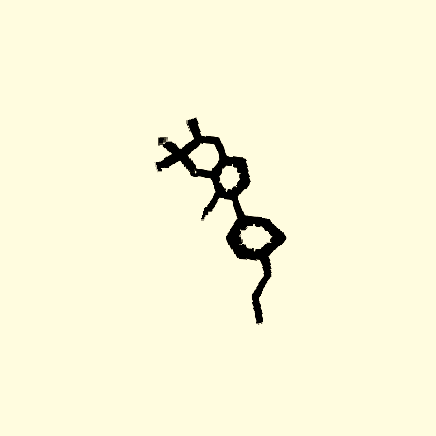 CCCc1ccc(-c2ccc3c(c2F)OC(F)(F)C(C)C3)cc1